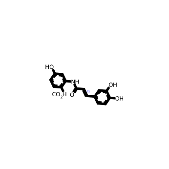 O=C(/C=C/c1ccc(O)c(O)c1)Nc1cc(O)ccc1C(=O)O